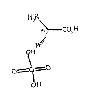 CC(C)[C@H](N)C(=O)O.[O]=[Cr](=[O])([OH])[OH]